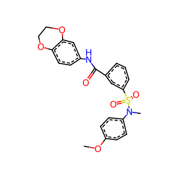 COc1ccc(N(C)S(=O)(=O)c2cccc(C(=O)Nc3ccc4c(c3)OCCO4)c2)cc1